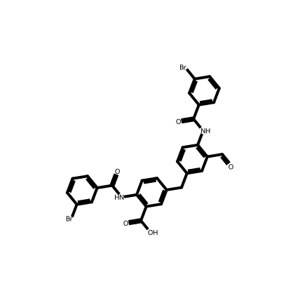 O=Cc1cc(Cc2ccc(NC(=O)c3cccc(Br)c3)c(C(=O)O)c2)ccc1NC(=O)c1cccc(Br)c1